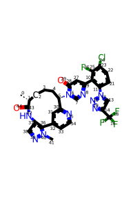 C[C@@H]1CCC[C@H](n2cnc(-c3c(-n4cc(C(F)(F)F)nn4)ccc(Cl)c3F)cc2=O)c2cc(ccn2)-c2c(cnn2C)NC1=O